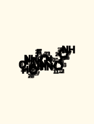 NC(=O)[C@@H]1[C@H](Nc2nc(Nc3cccc(C4CCNCC4)c3)ncc2F)[C@H]2C=C[C@@H]1C2